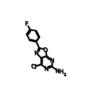 Nc1nc(Cl)c2nc(-c3ccc(F)cc3)oc2n1